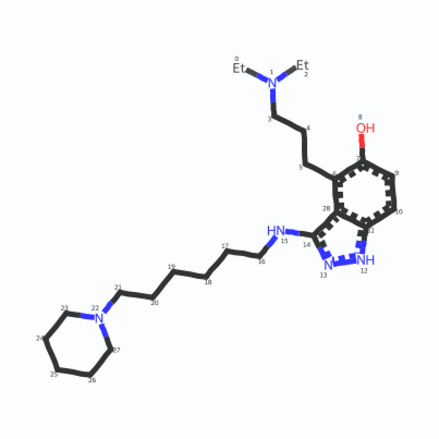 CCN(CC)CCCc1c(O)ccc2[nH]nc(NCCCCCCN3CCCCC3)c12